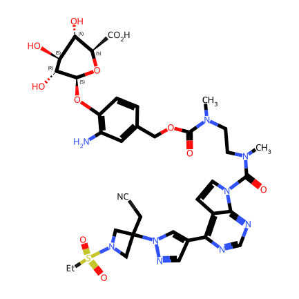 CCS(=O)(=O)N1CC(CC#N)(n2cc(-c3ncnc4c3ccn4C(=O)N(C)CCN(C)C(=O)OCc3ccc(O[C@@H]4O[C@H](C(=O)O)[C@@H](O)[C@H](O)[C@H]4O)c(N)c3)cn2)C1